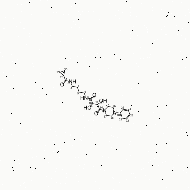 O=C(NCCCCNC(=O)[C@H](O)[C@@H](O)C(=O)N1CCN(c2ccccc2)CC1)C1CC1